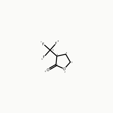 O=C1OCCC1C(F)(F)F